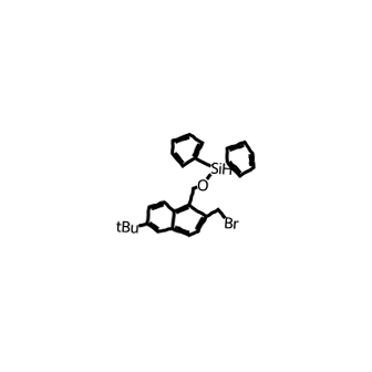 CC(C)(C)c1ccc2c(CO[SiH](c3ccccc3)c3ccccc3)c(CBr)ccc2c1